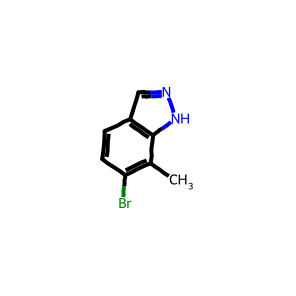 Cc1c(Br)ccc2cn[nH]c12